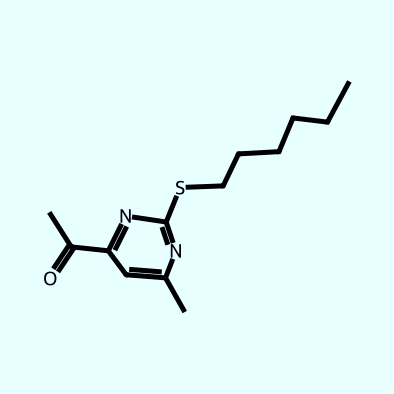 CCCCCCSc1nc(C)cc(C(C)=O)n1